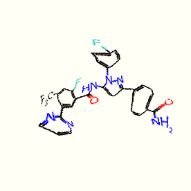 NC(=O)c1ccc(-c2cc(NC(=O)c3cc(-c4ncccn4)c(C(F)(F)F)cc3F)n(-c3ccc(F)cc3)n2)cc1